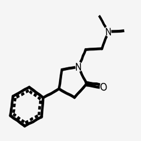 CN(C)CCN1CC(c2ccccc2)CC1=O